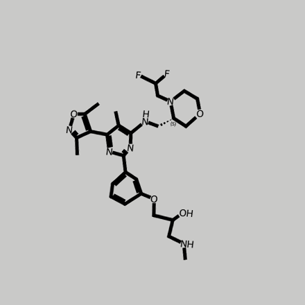 CNCC(O)COc1cccc(-c2nc(NC[C@H]3COCCN3CC(F)F)c(C)c(-c3c(C)noc3C)n2)c1